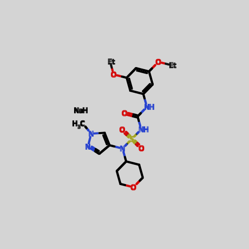 CCOc1cc(NC(=O)NS(=O)(=O)N(c2cnn(C)c2)C2CCOCC2)cc(OCC)c1.[NaH]